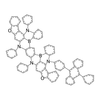 c1ccc(-c2c3ccccc3c(-c3ccc(N4c5ccccc5B5c6cc7c(cc6N(c6ccccc6)c6cc8oc9ccccc9c8c4c65)N(c4ccccc4)c4cc5oc6ccccc6c5c5c4B7c4ccccc4N5c4ccccc4)cc3)c3ccccc23)cc1